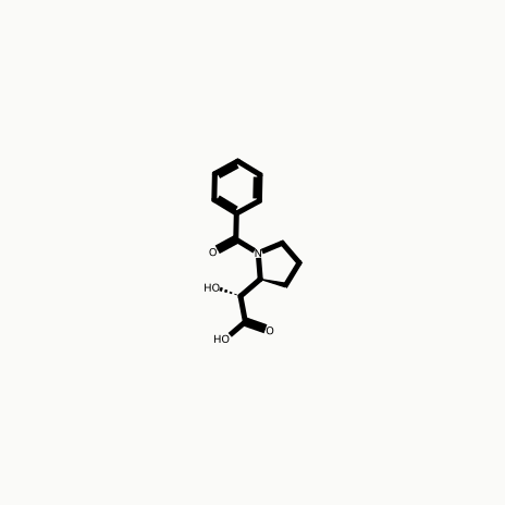 O=C(O)[C@H](O)[C@@H]1CCCN1C(=O)c1ccccc1